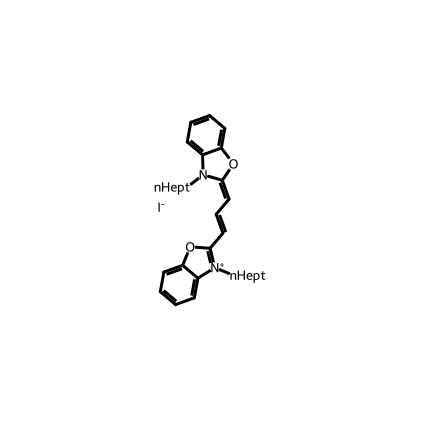 CCCCCCCN1C(=CC=Cc2oc3ccccc3[n+]2CCCCCCC)Oc2ccccc21.[I-]